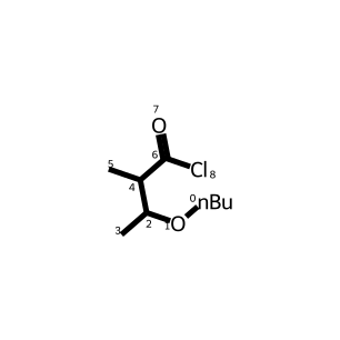 CCCCOC(C)C(C)C(=O)Cl